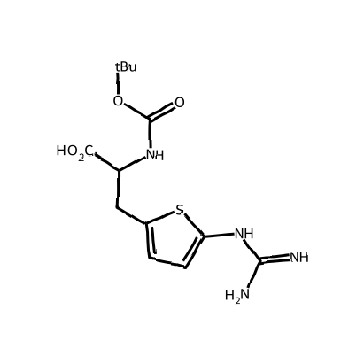 CC(C)(C)OC(=O)NC(Cc1ccc(NC(=N)N)s1)C(=O)O